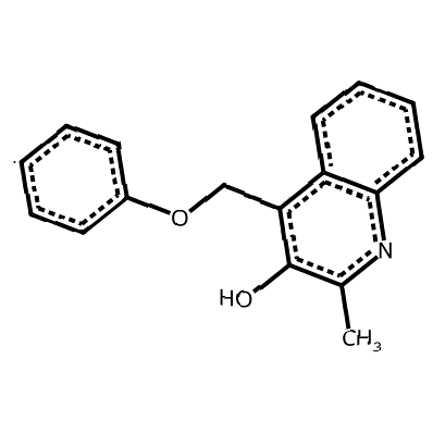 Cc1nc2ccccc2c(COc2cc[c]cc2)c1O